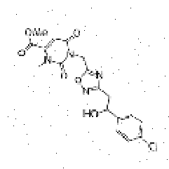 COC(=O)c1cc(=O)n(Cc2nc(CC(O)c3ccc(Cl)cc3)no2)c(=O)n1C